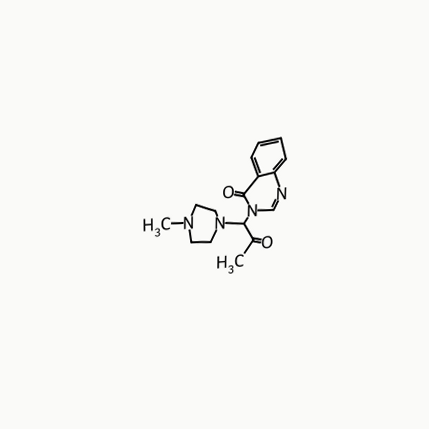 CC(=O)C(N1CCN(C)CC1)n1cnc2ccccc2c1=O